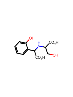 O=C(O)C(CO)NC(C(=O)O)c1ccccc1O